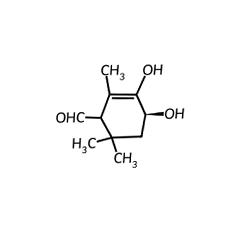 CC1=C(O)[C@@H](O)CC(C)(C)C1C=O